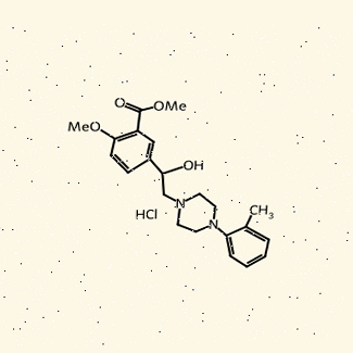 COC(=O)c1cc(C(O)CN2CCN(c3ccccc3C)CC2)ccc1OC.Cl